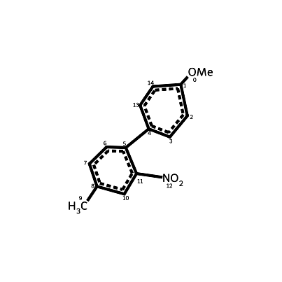 COc1ccc(-c2ccc(C)cc2[N+](=O)[O-])cc1